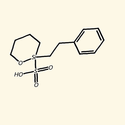 O=S(=O)(O)[Si]1(CCc2ccccc2)CCCCO1